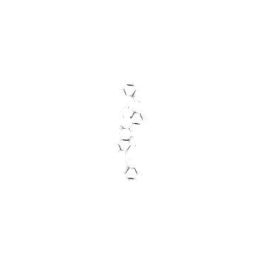 CCCO[C@@H]1Cc2ccc(OCc3ccccc3)cc2OC1c1cccc(OCc2ccccc2)c1